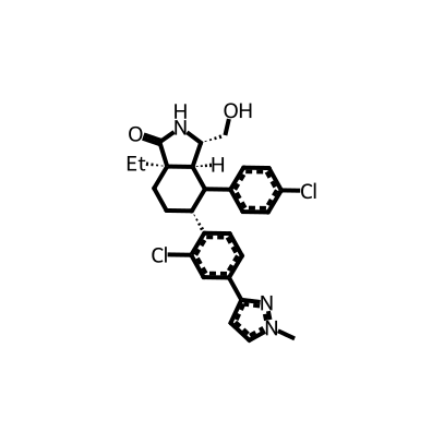 CC[C@@]12CC[C@@H](c3ccc(-c4ccn(C)n4)cc3Cl)C(c3ccc(Cl)cc3)[C@@H]1[C@@H](CO)NC2=O